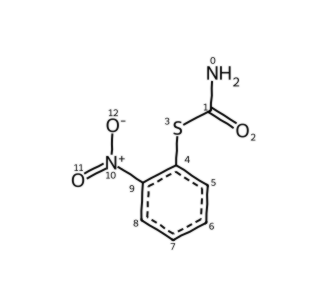 NC(=O)Sc1ccccc1[N+](=O)[O-]